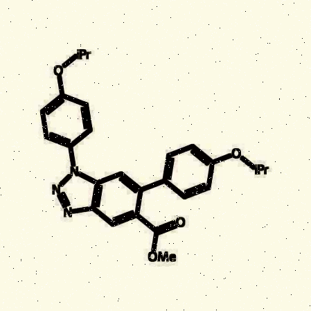 COC(=O)c1cc2nnn(-c3ccc(OC(C)C)cc3)c2cc1-c1ccc(OC(C)C)cc1